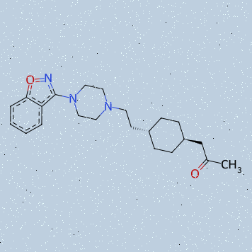 CC(=O)C[C@H]1CC[C@H](CCN2CCN(c3noc4ccccc34)CC2)CC1